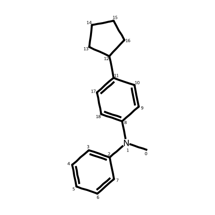 CN(c1ccccc1)c1ccc(C2CCCC2)cc1